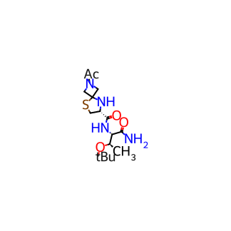 CC(=O)N1CC2(C1)N[C@H](C(=O)N[C@H](C(N)=O)[C@@H](C)OC(C)(C)C)CS2